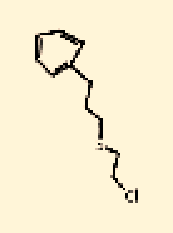 ClCCSCCCc1ccccc1